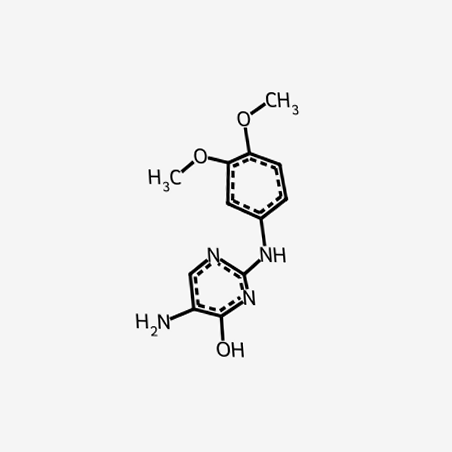 COc1ccc(Nc2ncc(N)c(O)n2)cc1OC